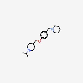 CC(C)N1CCC(COc2ccc(CN3CCCCC3)cc2)CC1